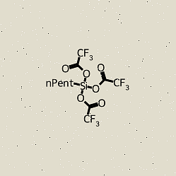 CCCCC[Si](OC(=O)C(F)(F)F)(OC(=O)C(F)(F)F)OC(=O)C(F)(F)F